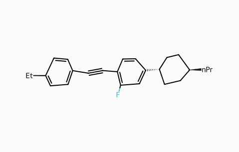 CCC[C@H]1CC[C@H](c2ccc(C#Cc3ccc(CC)cc3)c(F)c2)CC1